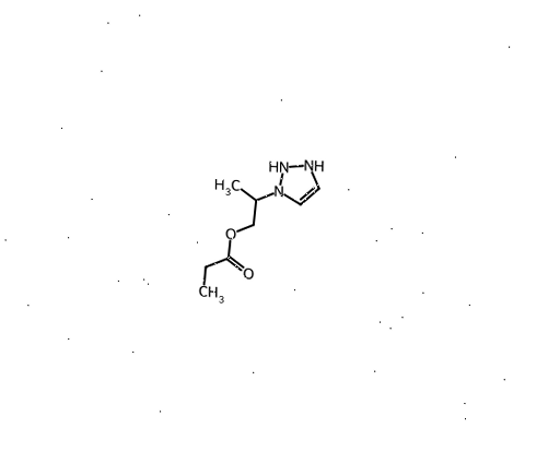 CCC(=O)OCC(C)N1C=CNN1